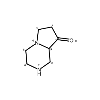 O=C1CCN2CCNCC12